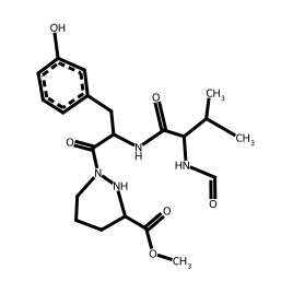 COC(=O)C1CCCN(C(=O)C(Cc2cccc(O)c2)NC(=O)C(NC=O)C(C)C)N1